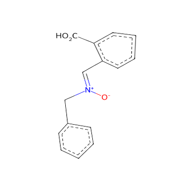 O=C(O)c1ccccc1C=[N+]([O-])Cc1ccccc1